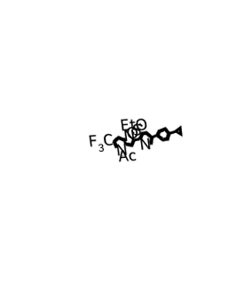 CCS(=O)(=O)c1cc(-c2ccc(C3CC3)cc2)cnc1-c1cc2n(C(C)=O)cc(C(F)(F)F)cc-2n1